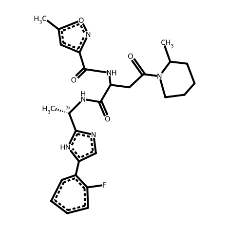 Cc1cc(C(=O)NC(CC(=O)N2CCCCC2C)C(=O)N[C@@H](C)c2ncc(-c3ccccc3F)[nH]2)no1